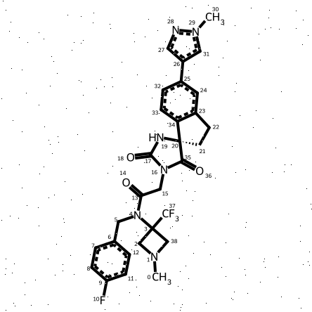 CN1CC(N(Cc2ccc(F)cc2)C(=O)CN2C(=O)N[C@]3(CCc4cc(-c5cnn(C)c5)ccc43)C2=O)(C(F)(F)F)C1